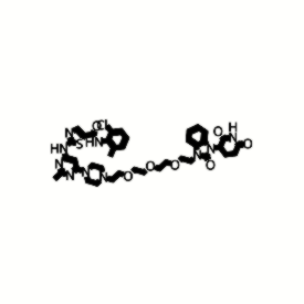 Cc1nc(Nc2ncc(C(=O)Nc3c(C)cccc3Cl)s2)cc(N2CCN(CCOCCOCCOCCn3c(=O)n(C4CCC(=O)NC4=O)c4ccccc43)CC2)n1